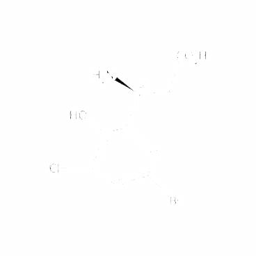 N[C@@H](CC(=O)O)c1cc(Br)cc(Cl)c1O